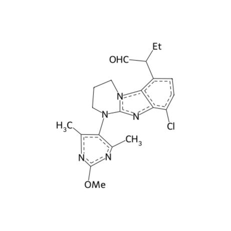 CCC(C=O)c1ccc(Cl)c2nc3n(c12)CCCN3c1c(C)nc(OC)nc1C